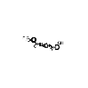 O=C(NCC1C2CN(CC(=O)N3CCCC(O)C3)CC12)c1cccc(OC(F)(F)F)c1